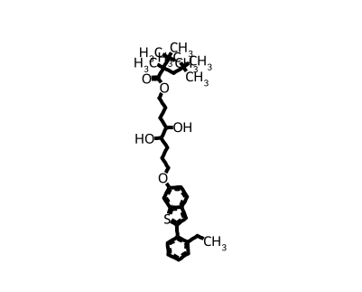 CCc1ccccc1-c1cc2ccc(OCCCC(O)C(O)CCCOC(=O)C(C)(CC(C)(C)C)C(C)(C)C)cc2s1